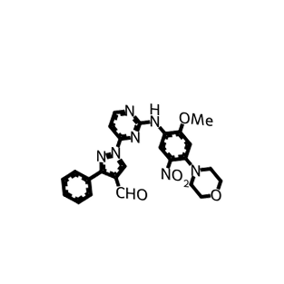 COc1cc(N2CCOCC2)c([N+](=O)[O-])cc1Nc1nccc(-n2cc(C=O)c(-c3ccccc3)n2)n1